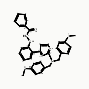 COc1ccc(CN(Cc2ccc(OC)cc2)c2nccc(-c3ccccc3ONC(=O)c3ccccc3)n2)cc1